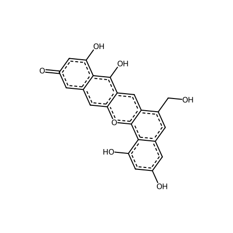 O=c1cc(O)c2c(O)c3cc4c(CO)cc5cc(O)cc(O)c5c4oc3cc2c1